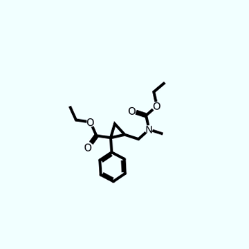 CCOC(=O)N(C)CC1CC1(C(=O)OCC)c1ccccc1